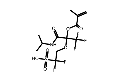 C=C(C)C(=O)OC(OCC(F)(F)S(=O)(=O)O)(C(=O)NC(C)C)C(F)(F)F